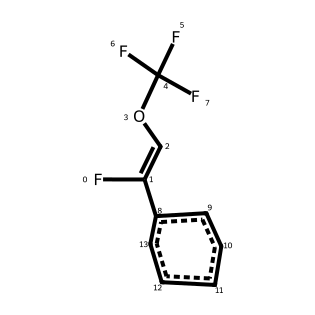 FC(=COC(F)(F)F)c1ccccc1